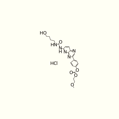 COCCOC(=O)Oc1ccc(-c2cnc3ccc(NC(=O)NCCCCO)nc3n2)cc1.Cl